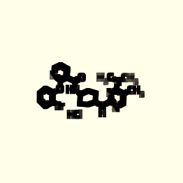 Cc1cnc(NC2CCC(NC(=O)c3cccnc3Oc3ccccc3Br)CC2)nc1N(C)C.Cl